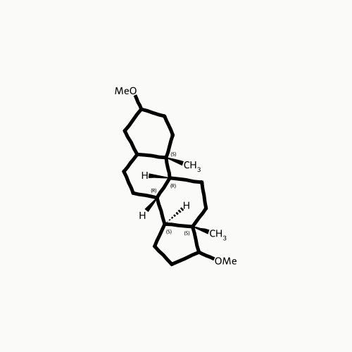 COC1CC[C@@]2(C)C(CC[C@@H]3[C@H]2CC[C@]2(C)C(OC)CC[C@@H]32)C1